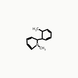 CC1C=CC=CC1C1C=CC=CN1C